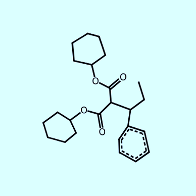 CCC(c1ccccc1)C(C(=O)OC1CCCCC1)C(=O)OC1CCCCC1